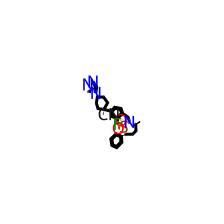 C[C@H]1CC[C@H](c2ccccc2)S(=O)(=O)N1Cc1ccc([C@]2(C#N)CC[C@@H](n3cnnc3)CC2)cc1F